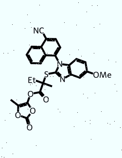 CCC(C)(Sc1nc2cc(OC)ccc2n1-c1ccc(C#N)c2ccccc12)C(=O)Oc1oc(=O)oc1C